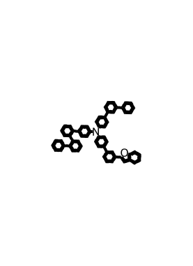 c1ccc(-c2cccc(-c3ccc(N(c4ccc(-c5cccc(-c6cc7ccccc7o6)c5)cc4)c4ccc(-c5ccccc5-c5ccccc5-c5ccccc5)cc4)cc3)c2)cc1